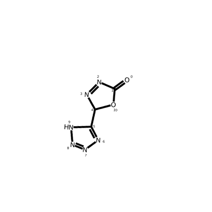 O=C1N=N[C](c2nnn[nH]2)O1